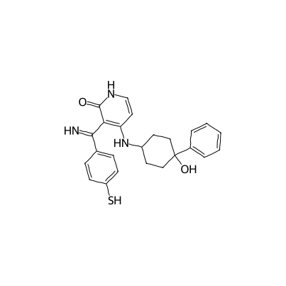 N=C(c1ccc(S)cc1)c1c(NC2CCC(O)(c3ccccc3)CC2)cc[nH]c1=O